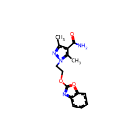 Cc1nn(CCOc2nc3ccccc3o2)c(C)c1C(N)=O